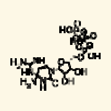 N=C(N)NC1(N)C=CN([C@@H]2O[C@H](COP(=O)(O)OP(=O)(O)OP(=O)(O)O)[C@@H](O)[C@H]2O)C(=O)N1